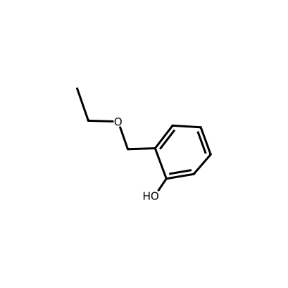 CCOCc1ccccc1O